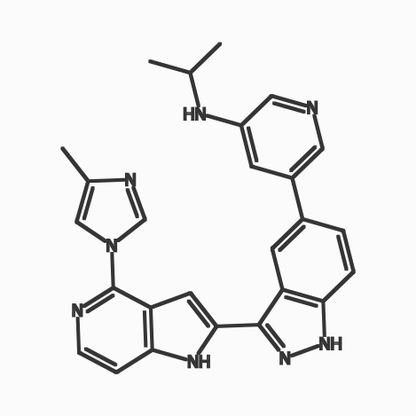 Cc1cn(-c2nccc3[nH]c(-c4n[nH]c5ccc(-c6cncc(NC(C)C)c6)cc45)cc23)cn1